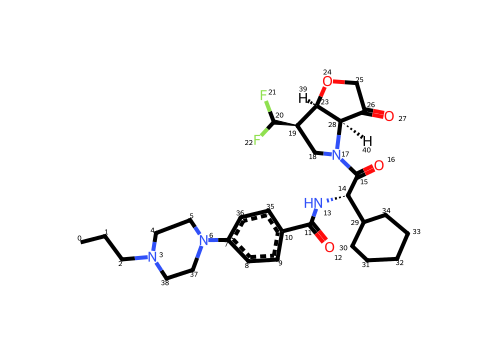 CCCN1CCN(c2ccc(C(=O)N[C@H](C(=O)N3C[C@@H](C(F)F)[C@H]4OCC(=O)[C@H]43)C3CCCCC3)cc2)CC1